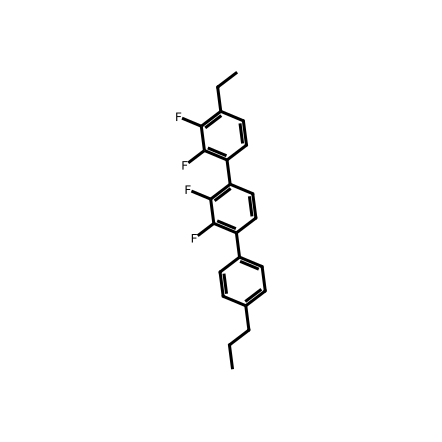 CCCc1ccc(-c2ccc(-c3ccc(CC)c(F)c3F)c(F)c2F)cc1